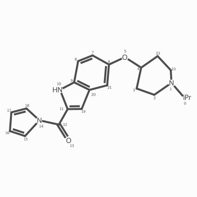 CC(C)N1CCC(Oc2ccc3[nH]c(C(=O)n4cccc4)cc3c2)CC1